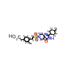 Cc1cc(CC(=O)O)ccc1C=CS(=O)(=O)N1CCC2(CC1)N=C(C1CCC(C)CC1)NC2=O